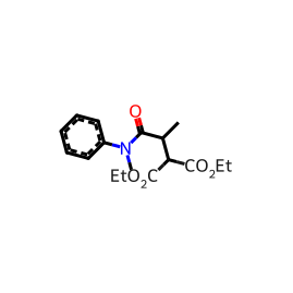 CCOC(=O)C(C(=O)OCC)C(C)C(=O)N(C)c1ccccc1